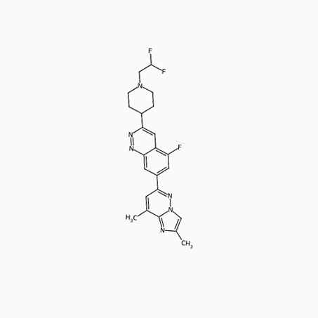 Cc1cn2nc(-c3cc(F)c4cc(C5CCN(CC(F)F)CC5)nnc4c3)cc(C)c2n1